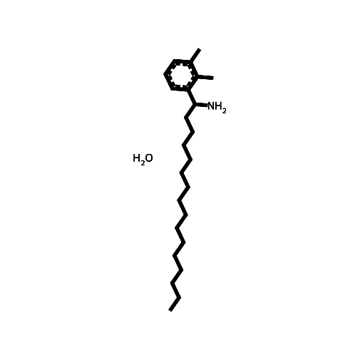 CCCCCCCCCCCCCCCC(N)c1cccc(C)c1C.O